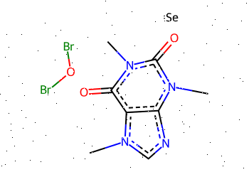 BrOBr.Cn1c(=O)c2c(ncn2C)n(C)c1=O.[Se]